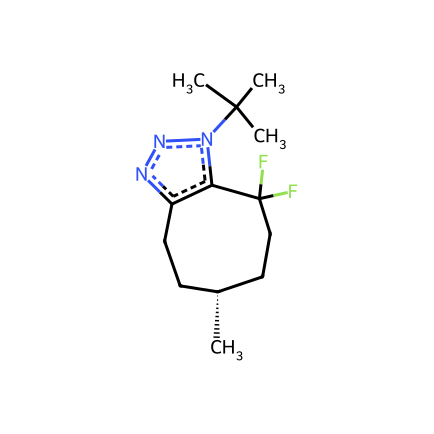 C[C@@H]1CCc2nnn(C(C)(C)C)c2C(F)(F)CC1